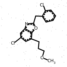 COCCCc1cc(Cl)cc2nc(Cc3ccccc3Cl)oc12